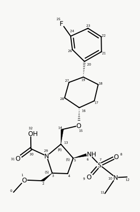 COC[C@@H]1C[C@H](NS(=O)(=O)N(C)C)[C@H](CO[C@H]2CC[C@@H](c3cccc(F)c3)CC2)N1C(=O)O